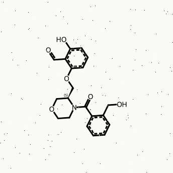 O=Cc1c(O)cccc1OC[C@@H]1COCCN1C(=O)c1ccccc1CO